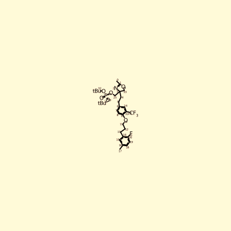 CC1=NC(CCc2ccc(OCCCc3cc(C)ccc3F)c(C(F)(F)F)c2)(COP(=O)(OC(C)(C)C)OC(C)(C)C)CO1